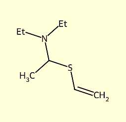 C=CSC(C)N(CC)CC